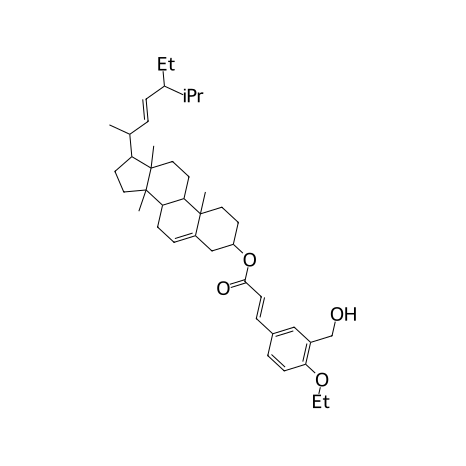 CCOc1ccc(/C=C/C(=O)OC2CCC3(C)C(=CCC4C3CCC3(C)C(C(C)/C=C/C(CC)C(C)C)CCC43C)C2)cc1CO